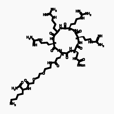 CCCCCCCCCC(=O)NC[C@@H]1NC(=O)[C@H](CCC(=O)NCCOCCOCC(=O)NC(CCCCN)C(N)=O)NC(=O)[C@@H](CCCNC(=N)N)NC(=O)C(CCCNC(=N)N)NC(=O)[C@@H](CCCNC(=N)N)NC(=O)[C@H](CCCNC(=N)N)NC1=O